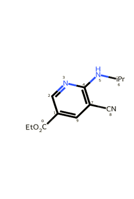 CCOC(=O)c1cnc(NC(C)C)c(C#N)c1